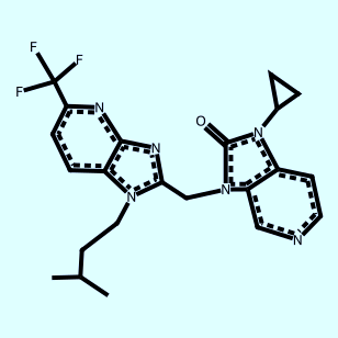 CC(C)CCn1c(Cn2c(=O)n(C3CC3)c3ccncc32)nc2nc(C(F)(F)F)ccc21